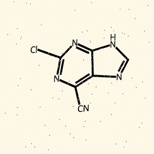 N#Cc1nc(Cl)nc2[nH]cnc12